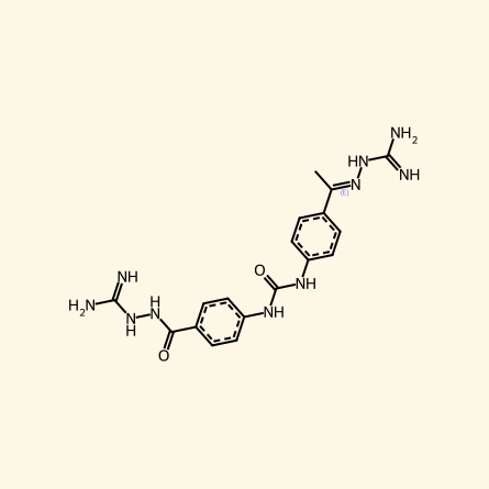 C/C(=N\NC(=N)N)c1ccc(NC(=O)Nc2ccc(C(=O)NNC(=N)N)cc2)cc1